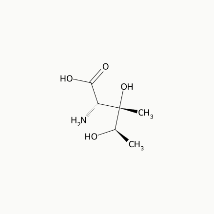 C[C@@H](O)[C@@](C)(O)[C@H](N)C(=O)O